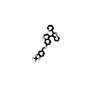 FC1(F)Oc2ccc(COc3ccc4c(-c5c(-c6ccccn6)nn6c5CCC6)ccnc4c3)cc2O1